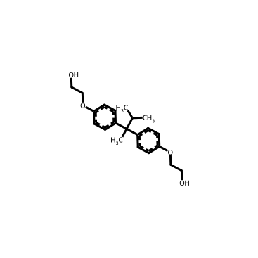 CC(C)C(C)(c1ccc(OCCO)cc1)c1ccc(OCCO)cc1